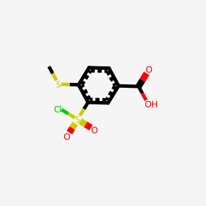 CSc1ccc(C(=O)O)cc1S(=O)(=O)Cl